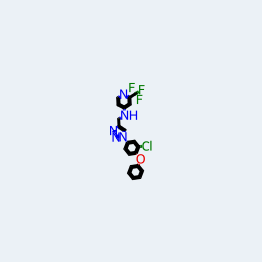 FC(F)(F)c1cc(NCc2cn(-c3ccc(Oc4ccccc4)c(Cl)c3)nn2)ccn1